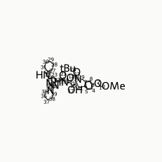 COCOc1ccc2c(c1)CN(C(=O)OC(C)(C)C)[C@H]([C@H](O)CNC(=O)c1cc(NC3CCCCC3)nc(N3CCCCC3)n1)C2